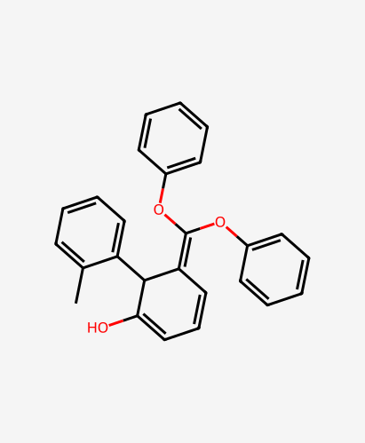 Cc1ccccc1C1C(O)=CC=CC1=C(Oc1ccccc1)Oc1ccccc1